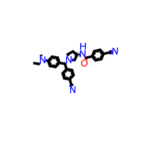 CCN(C)c1ccc(C(c2ccc(C#N)cc2)N2CC[C@@H](NC(=O)c3ccc(C#N)cc3)C2)cc1